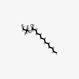 CCCCCCCCCCCC(=O)OC(F)(F)CF